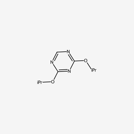 CC(C)Oc1ncnc(OC(C)C)n1